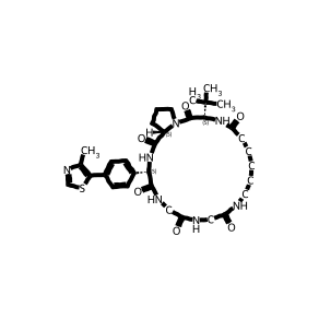 Cc1ncsc1-c1ccc([C@@H]2NC(=O)[C@@H]3CCCN3C(=O)[C@H](C(C)(C)C)NC(=O)CCCCCNC(=O)CNC(=O)CNC2=O)cc1